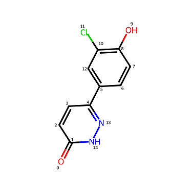 O=c1ccc(-c2ccc(O)c(Cl)c2)n[nH]1